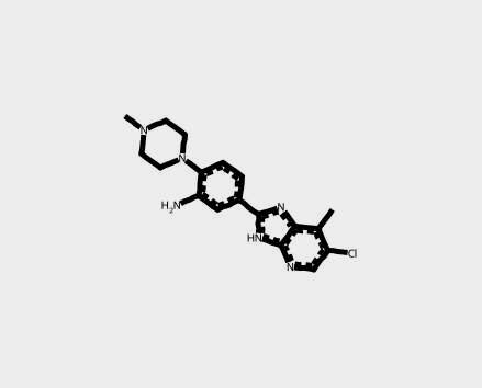 Cc1c(Cl)cnc2[nH]c(-c3ccc(N4CCN(C)CC4)c(N)c3)nc12